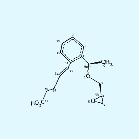 C[C@@H](OC[C@H]1CO1)c1ccccc1C=CCCC(=O)O